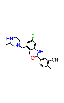 Cc1ccc(C(=O)Nc2cc(Cl)cc(CN3CCNC(C)C3)c2C)cc1C#N